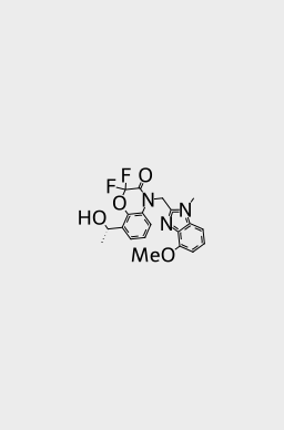 COc1cccc2c1nc(CN1C(=O)C(F)(F)Oc3c([C@H](C)O)cccc31)n2C